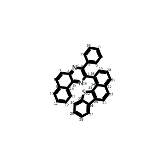 c1ccc(-c2nc3ccc4ccccc4c3nc2-c2cccc3ccc4c5ccccc5sc4c23)cc1